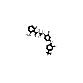 Cc1cccc(F)c1C(=O)NC(=O)Nc1ccc(Oc2ccc(C(F)(F)F)cc2Cl)cc1F